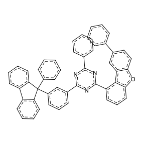 c1ccc(-c2ccc3oc4cccc(-c5nc(-c6ccccc6)nc(-c6cccc(C7(c8ccccc8)c8ccccc8-c8ccccc87)c6)n5)c4c3c2)cc1